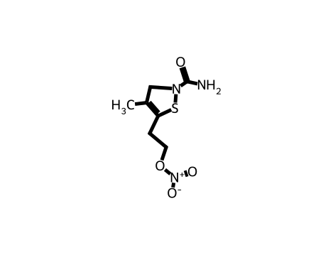 CC1=C(CCO[N+](=O)[O-])SN(C(N)=O)C1